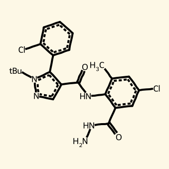 Cc1cc(Cl)cc(C(=O)NN)c1NC(=O)c1cnn(C(C)(C)C)c1-c1ccccc1Cl